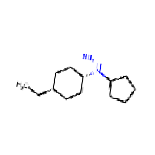 CC[C@H]1CC[C@H](NC2CCCC2)CC1.N